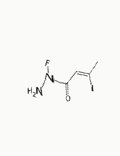 CC(I)=CC(=O)N(N)F